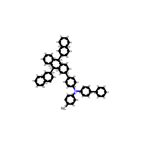 N#Cc1ccc(N(c2ccc(-c3ccccc3)cc2)c2ccc(-c3ccc4c(-c5ccc6ccccc6c5)c5ccccc5c(-c5ccc6ccccc6c5)c4c3)cc2)cc1